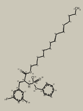 CCCCCCCCCCCCCCCOC(=O)[C@H](Cc1cc(F)cc(F)c1)NP(=O)(Cl)Oc1ccccc1